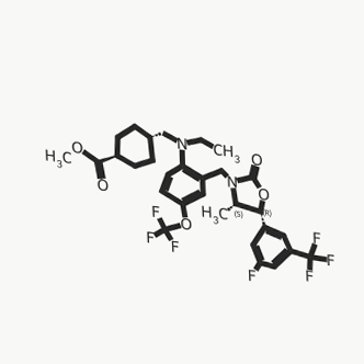 CCN(C[C@H]1CC[C@H](C(=O)OC)CC1)c1ccc(OC(F)(F)F)cc1CN1C(=O)O[C@H](c2cc(F)cc(C(F)(F)F)c2)[C@@H]1C